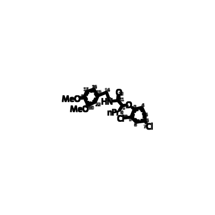 CCCC(Oc1ccc(Cl)cc1Cl)C(=O)NCc1ccc(OC)c(OC)c1